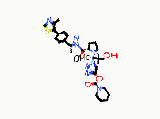 Cc1ncsc1-c1ccc([C@H](C)NC(=O)[C@@H]2CCCN2[C@](C=O)(n2cc(OC(=O)N3CCCCC3)nn2)C(C)(C)CO)cc1